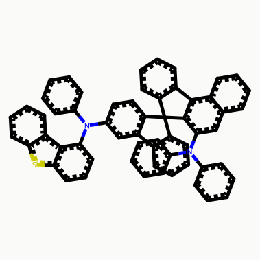 c1ccc(N(c2ccccc2)c2cc3ccccc3c3c2C2(c4ccccc4-c4cc(N(c5ccccc5)c5cccc6sc7ccccc7c56)ccc42)c2ccccc2-3)cc1